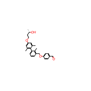 Cc1cc(OCC[C@H](C)O)cc(C)c1-c1cccc(COc2ccc(C=O)cc2)c1C